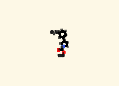 CC(C)(C)OC(=O)N1CC=C(c2cccc([N+](=O)[O-])c2)C1